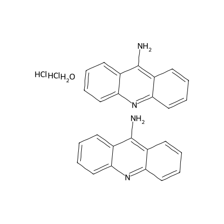 Cl.Cl.Nc1c2ccccc2nc2ccccc12.Nc1c2ccccc2nc2ccccc12.O